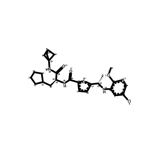 COc1ncc(Cl)cc1N[C@@H](C)c1ccc(C(=O)N[C@@H](CC2CCCC2)C(=O)NC23CC(C2)C3)s1